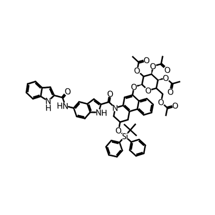 CC(=O)OCC1O[C@@H](Oc2cc3c(c4ccccc24)CC(O[Si](c2ccccc2)(c2ccccc2)C(C)(C)C)CN3C(=O)c2cc3cc(NC(=O)c4cc5ccccc5[nH]4)ccc3[nH]2)C(OC(C)=O)[C@@H](OC(C)=O)[C@H]1OC(C)=O